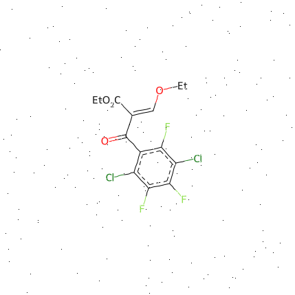 CCOC=C(C(=O)OCC)C(=O)c1c(F)c(Cl)c(F)c(F)c1Cl